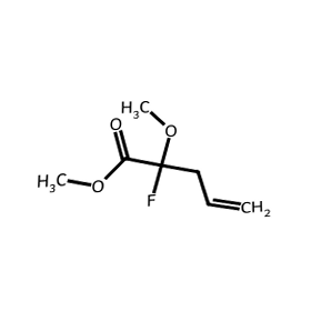 C=CCC(F)(OC)C(=O)OC